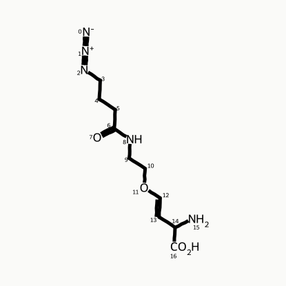 [N-]=[N+]=NCCCC(=O)NCCO/C=C/C(N)C(=O)O